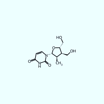 C[C@@H]1[C@H](CO)[C@@H](CO)O[C@H]1n1ccc(=O)[nH]c1=O